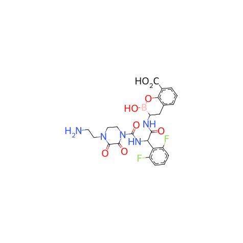 NCCN1CCN(C(=O)NC(C(=O)NC2Cc3cccc(C(=O)O)c3OB2O)c2c(F)cccc2F)C(=O)C1=O